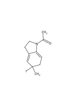 CC(=O)N1CCC2=CC(C)(I)CC=C21